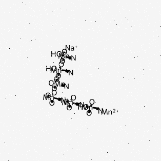 N#[C][Mn](=[O])(=[O])[O-].N#[C][Mn](=[O])(=[O])[O-].N#[C][Mn](=[O])(=[O])[O-].N#[C][Mn](=[O])(=[O])[OH].N#[C][Mn](=[O])(=[O])[OH].N#[C][Mn](=[O])(=[O])[OH].[Mn+2].[Na+]